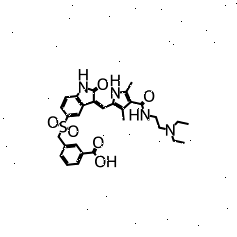 CCN(CC)CCNC(=O)c1c(C)[nH]c(/C=C2\C(=O)Nc3ccc(S(=O)(=O)Cc4cccc(C(=O)O)c4)cc32)c1C